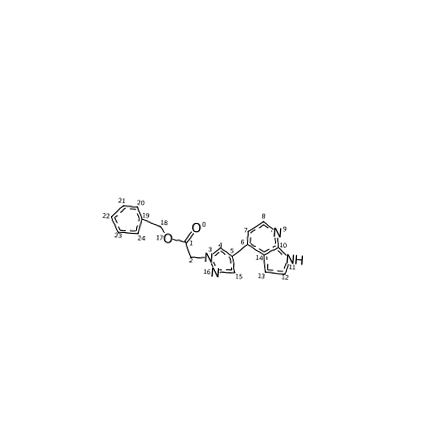 O=C(Cn1cc(-c2ccnc3[nH]ccc23)cn1)OCc1ccccc1